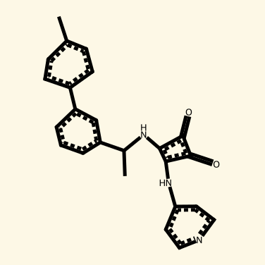 Cc1ccc(-c2cccc(C(C)Nc3c(Nc4ccncc4)c(=O)c3=O)c2)cc1